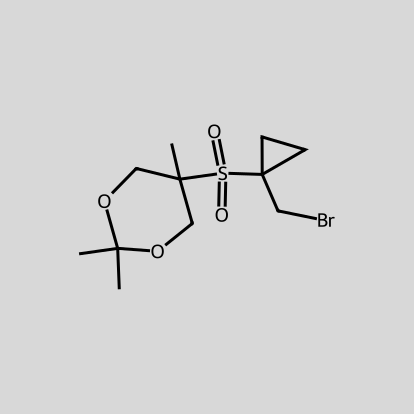 CC1(C)OCC(C)(S(=O)(=O)C2(CBr)CC2)CO1